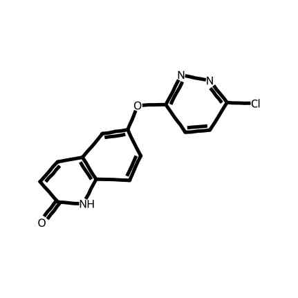 O=c1ccc2cc(Oc3ccc(Cl)nn3)ccc2[nH]1